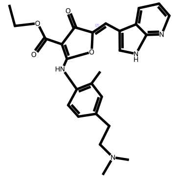 CCOC(=O)C1=C(Nc2ccc(CCN(C)C)cc2C)O/C(=C\c2c[nH]c3ncccc23)C1=O